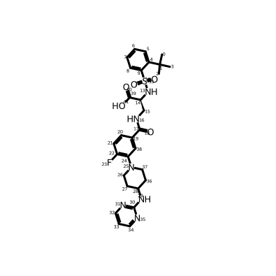 CC(C)(C)c1ccccc1S(=O)(=O)N[C@@H](CNC(=O)c1ccc(F)c(N2CCC(Nc3ncccn3)CC2)c1)C(=O)O